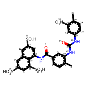 Cc1ccc(C(=O)Nc2cc(S(=O)(=O)O)cc3cc(S(=O)(=O)O)cc(S(=O)(=O)O)c23)cc1NC(=O)Nc1ccc(C)c([N+](=O)[O-])c1